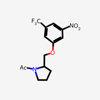 CC(=O)N1CCCC1COc1cc([N+](=O)[O-])cc(C(F)(F)F)c1